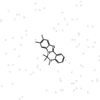 Cc1cc2nc3n(c2cc1C)C(C)(C)N(C)c1ccccc1-3